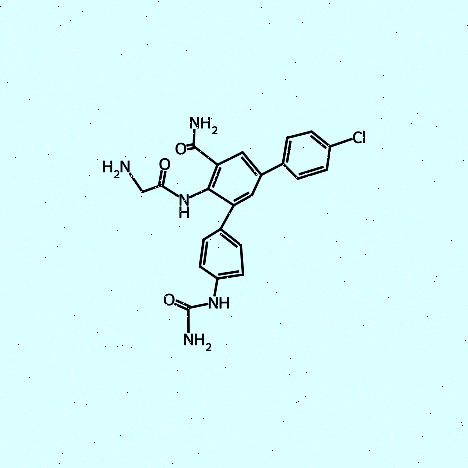 NCC(=O)Nc1c(C(N)=O)cc(-c2ccc(Cl)cc2)cc1-c1ccc(NC(N)=O)cc1